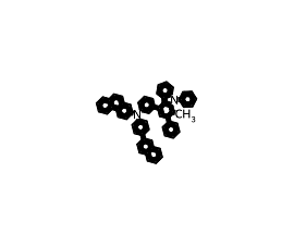 CC1c2c(c3ccccc3n2-c2ccccc2)C(c2cccc(N(c3ccc(-c4ccc5ccccc5c4)cc3)c3ccc4c(ccc5ccccc54)c3)c2)=CC1c1ccccc1